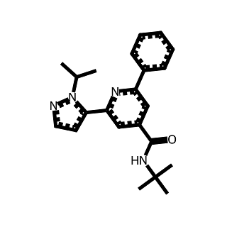 CC(C)n1nccc1-c1cc(C(=O)NC(C)(C)C)cc(-c2ccccc2)n1